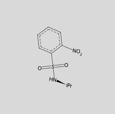 [CH2][C@H](C)NS(=O)(=O)c1ccccc1[N+](=O)[O-]